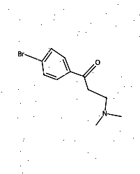 CN(C)CCC(=O)c1ccc(Br)cc1